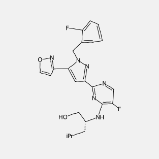 CC(C)C[C@H](CO)Nc1nc(-c2cc(-c3ccon3)n(Cc3ccccc3F)n2)ncc1F